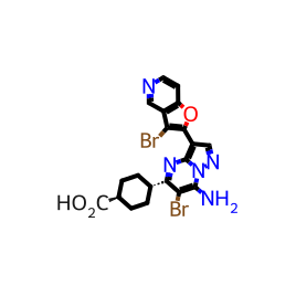 Nc1c(Br)c([C@H]2CC[C@H](C(=O)O)CC2)nc2c(-c3oc4ccncc4c3Br)cnn12